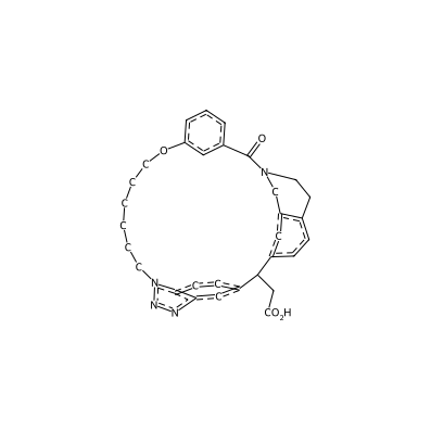 O=C(O)CC1c2ccc3c(c2)CN(CC3)C(=O)c2cccc(c2)OCCCCCCn2nnc3cc1ccc32